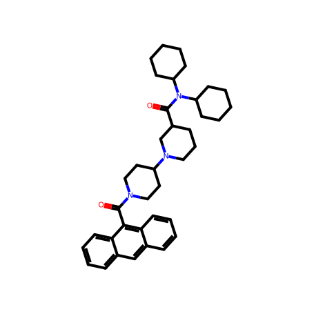 O=C(c1c2ccccc2cc2ccccc12)N1CCC(N2CCCC(C(=O)N(C3CCCCC3)C3CCCCC3)C2)CC1